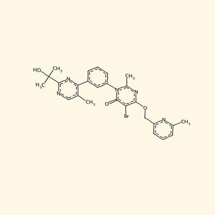 Cc1cccc(COc2nc(C)n(-c3cccc(-c4nc(C(C)(C)O)ncc4C)c3)c(=O)c2Br)n1